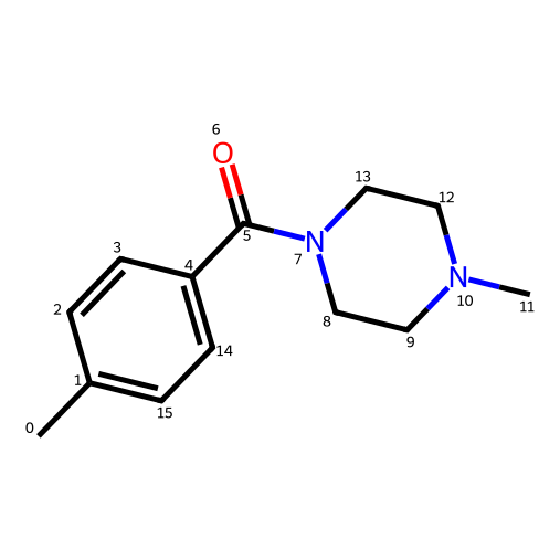 Cc1ccc(C(=O)N2CCN(C)CC2)cc1